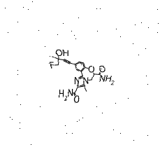 Cc1c(C(N)=O)nc2n1CC(C(N)=O)Oc1ccc(C#CC(C)(O)CF)cc1-2